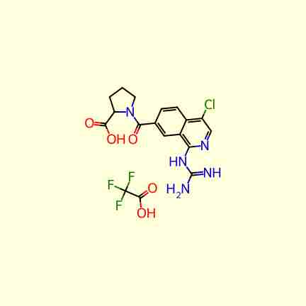 N=C(N)Nc1ncc(Cl)c2ccc(C(=O)N3CCCC3C(=O)O)cc12.O=C(O)C(F)(F)F